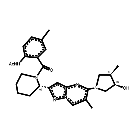 CC(=O)Nc1ccc(C)cc1C(=O)N1CCCC[C@H]1c1cc2nc(N3C[C@@H](C)[C@@H](O)C3)c(C)cn2n1